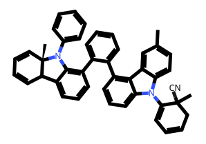 Cc1ccc2c(c1)c1c(-c3ccccc3-c3cccc4c3N(c3ccccc3)[C@@]3(C)C=CC=CC43)cccc1n2C1=CC=CCC1(C)C#N